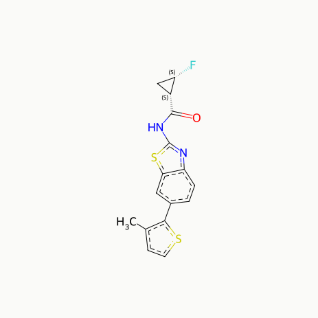 Cc1ccsc1-c1ccc2nc(NC(=O)[C@@H]3C[C@@H]3F)sc2c1